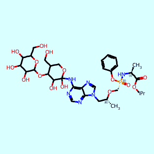 CC(C)OC(=O)[C@H](C)N[P@](=O)(CO[C@H](C)Cn1cnc2c(NC3(O)OCC(CO)C(OC4OC(CO)C(O)C(O)C4O)C3O)ncnc21)Oc1ccccc1